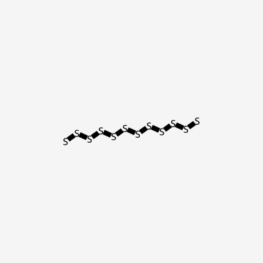 S=S=S=S=S=S=S=S=S=S=S=S